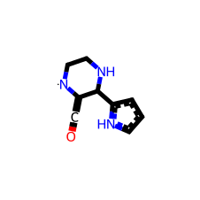 O=C=C1[N]CCNC1c1ccc[nH]1